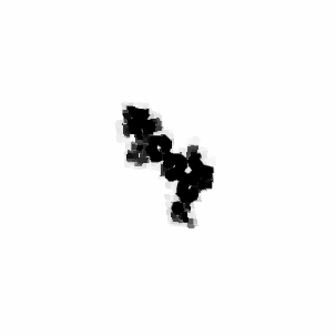 CCOc1cc(-c2ccc(N3CC[C@H](NC(=O)C4(C(F)(F)F)CC4)[C@](C)(O)C3)nc2)c2c(C#N)cnn2c1